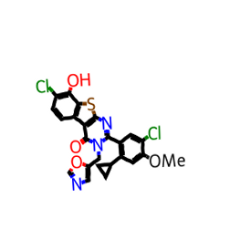 COc1cc(C2CC2)c(-c2nc3sc4c(O)c(Cl)ccc4c3c(=O)n2Cc2cnco2)cc1Cl